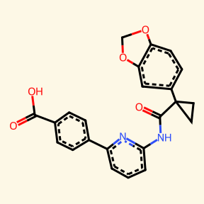 O=C(O)c1ccc(-c2cccc(NC(=O)C3(c4ccc5c(c4)OCO5)CC3)n2)cc1